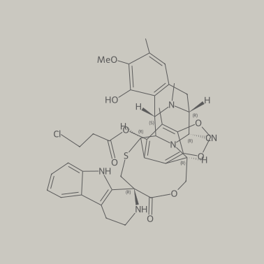 COc1c(C)cc2c(c1O)[C@H]1C3[C@@H]4SC[C@]5(NCCc6c5[nH]c5ccccc65)C(=O)OC[C@@H](c5c6c(c(C)c(OC(=O)CCCl)c54)OCO6)N3[C@@H](C#N)[C@@H](C2)N1C